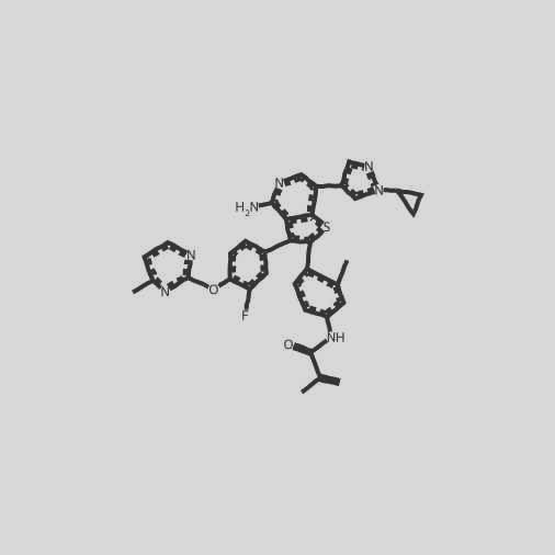 C=C(C)C(=O)Nc1ccc(-c2sc3c(-c4cnn(C5CC5)c4)cnc(N)c3c2-c2ccc(Oc3nccc(C)n3)c(F)c2)c(C)c1